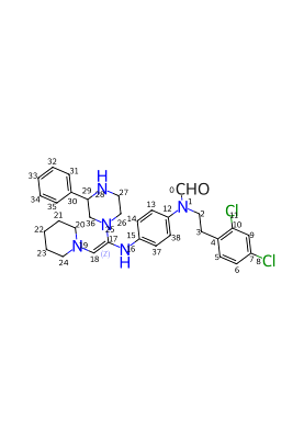 O=CN(CCc1ccc(Cl)cc1Cl)c1ccc(N/C(=C/N2CCCCC2)N2CCNC(c3ccccc3)C2)cc1